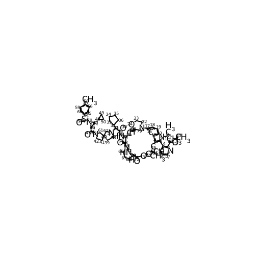 CCn1c(-c2cccnc2[C@H](C)OC)c2c3cc(ccc31)N1CCO[C@@H](C[C@H](NC(=O)[C@H](C3CCCC3)N3CC[C@]4(CCN(C(=O)[C@H]5[C@@H](C6CC6)N5[S@+]([O-])c5ccc(C)cc5)C4)C3)C(=O)N3CCC[C@H](N3)C(=O)OCC(C)(C)C2)C1